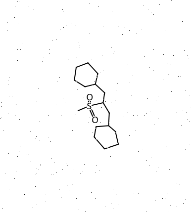 CS(=O)(=O)C(CC1CCCCC1)CC1CCCCC1